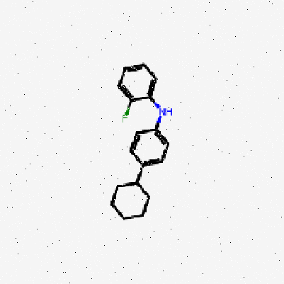 Fc1ccccc1Nc1ccc(C2CCCCC2)cc1